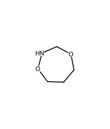 C1COCNOC1